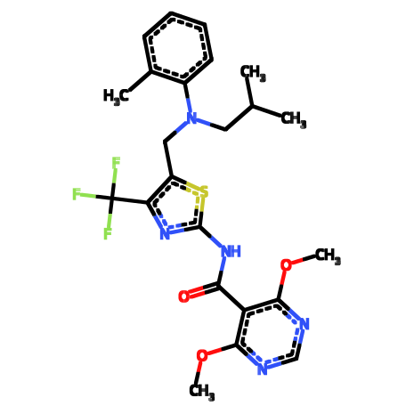 COc1ncnc(OC)c1C(=O)Nc1nc(C(F)(F)F)c(CN(CC(C)C)c2ccccc2C)s1